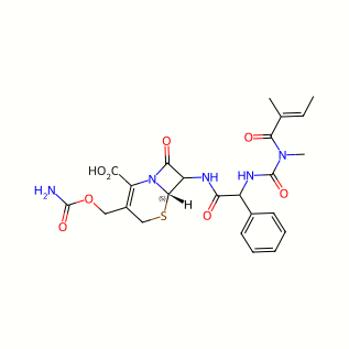 CC=C(C)C(=O)N(C)C(=O)NC(C(=O)NC1C(=O)N2C(C(=O)O)=C(COC(N)=O)CS[C@@H]12)c1ccccc1